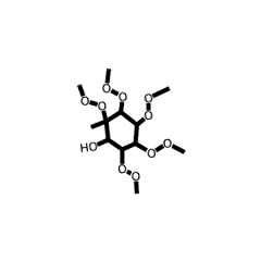 COOC1C(OOC)C(O)C(C)(OOC)C(OOC)C1OOC